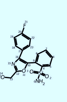 NS(=O)(=O)c1ccccc1-c1oc(CO)nc1-c1ccc(F)cc1